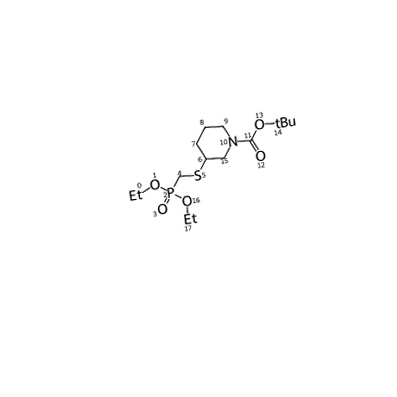 CCOP(=O)(CSC1CCCN(C(=O)OC(C)(C)C)C1)OCC